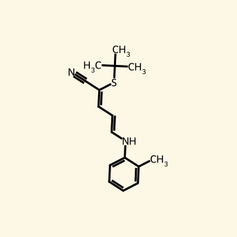 Cc1ccccc1NC=CC=C(C#N)SC(C)(C)C